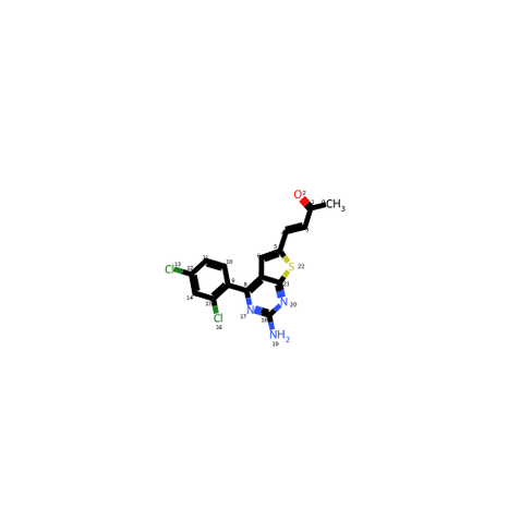 CC(=O)C=Cc1cc2c(-c3ccc(Cl)cc3Cl)nc(N)nc2s1